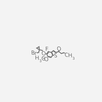 CCCC(=O)c1cc2c(F)c(OCC3(CBr)CC3)c(OC)cc2s1